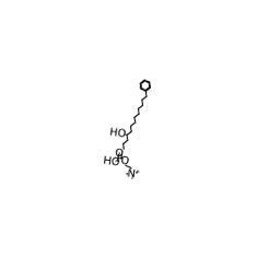 C[N+](C)(C)CCOP(O)OCCCC(O)CCCCCCCCCc1ccccc1